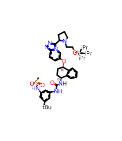 CC(C)[Si](OCCN1CCCC1c1nnc2ccc(O[C@@H]3CC[C@H](NC(=O)Nc4cc(NS(C)(=O)=O)cc(C(C)(C)C)c4)c4ccccc43)cn12)(C(C)C)C(C)C